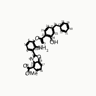 C=C(Oc1cccc(-c2nc3c(C(=O)OC)cccc3o2)c1N)c1ccc(Cc2ccccc2)cc1O